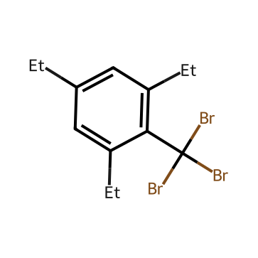 CCc1cc(CC)c(C(Br)(Br)Br)c(CC)c1